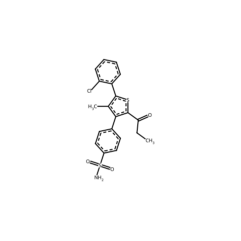 CCC(=O)c1sc(-c2ccccc2Cl)c(C)c1-c1ccc(S(N)(=O)=O)cc1